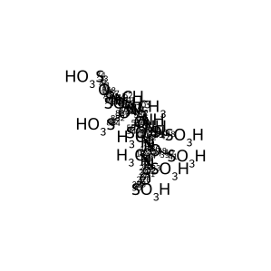 Cc1cc(NC(=O)Nc2cc(C)c(N=Nc3cc(C)c(N=Nc4ccc(OCCCS(=O)(=O)O)cc4S(=O)(=O)O)cc3OCCCCS(=O)(=O)O)cc2OCCCS(=O)(=O)O)c(OCCCS(=O)(=O)O)cc1N=Nc1cc(C)c(N=Nc2ccc(OCCCS(=O)(=O)O)cc2S(=O)(=O)O)cc1OCCCCS(=O)(=O)O